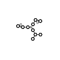 c1ccc(-c2cc(-c3ccccc3)cc(-c3ccc(N(c4ccc(-c5ccc6c(c5)oc5ccccc56)cc4)c4ccc(-c5cccc6c5oc5ccccc56)cc4)cc3)c2)cc1